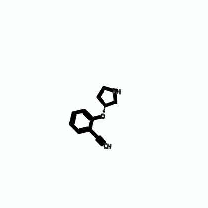 C#Cc1ccccc1O[C@@H]1CCNC1